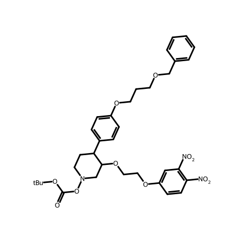 CC(C)(C)OC(=O)ON1CCC(c2ccc(OCCCOCc3ccccc3)cc2)C(OCCOc2ccc([N+](=O)[O-])c([N+](=O)[O-])c2)C1